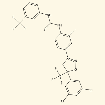 Cc1cc(C2=NOC(c3cc(Cl)cc(Cl)c3)(C(F)(F)F)C2)ccc1NC(=S)Nc1cccc(C(F)(F)F)c1